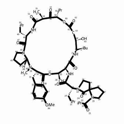 CC[C@H](C)[C@H]1NC(=O)[C@@H](NC(=O)[C@@H](CC(C)C)N2CCC3(CCCN3C(=O)C(C)C)C2=O)[C@@H](C)OC(=O)[C@H](Cc2ccc(OC)cc2)N(C)[C@@H]2CCCN2C(=O)[C@H](CC(C)C)NC(=O)[C@@H](C)C(=O)[C@H](C(C)C)OC(=O)C[C@@H]1O